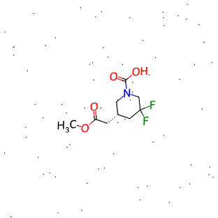 COC(=O)C[C@@H]1CN(C(=O)O)CC(F)(F)C1